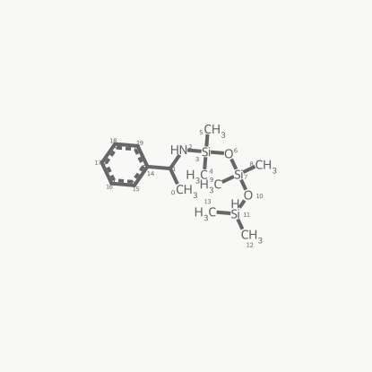 CC(N[Si](C)(C)O[Si](C)(C)O[SiH](C)C)c1ccccc1